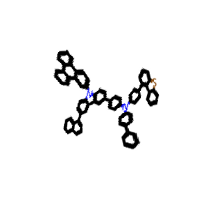 c1ccc(-c2ccc(N(c3ccc(-c4ccc5c(c4)c4cc(-c6cccc7ccccc67)ccc4n5-c4ccc5c6ccccc6c6ccccc6c5c4)cc3)c3ccc(-c4cccc5sc6ccccc6c45)cc3)cc2)cc1